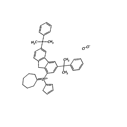 CC(C)(c1ccccc1)c1ccc2c(c1)-c1cc(C(C)(C)c3ccccc3)c[c]([Zr+2]([C]3=CC=CC3)=[C]3CCCCCC3)c1C2.[Cl-].[Cl-]